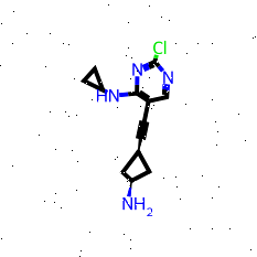 N[C@H]1C[C@@H](C#Cc2cnc(Cl)nc2NC2CC2)C1